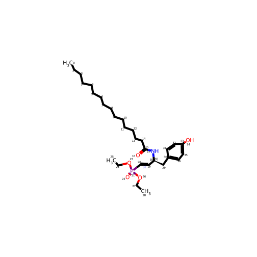 CCCCCCCCCCCCCCCC(=O)N[C@H](/C=C/P(=O)(OCC)OCC)Cc1ccc(O)cc1